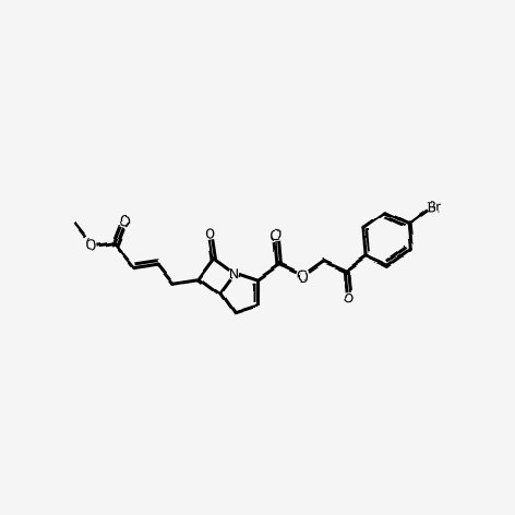 COC(=O)C=CCC1C(=O)N2C(C(=O)OCC(=O)c3ccc(Br)cc3)=CCC12